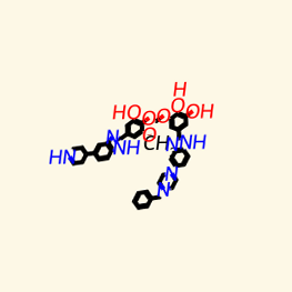 COc1cc(-c2nc3cc(C4CCNCC4)ccc3[nH]2)cc(O)c1OCOc1cc(-c2nc3cc(N4CCN(Cc5ccccc5)CC4)ccc3[nH]2)cc(O)c1O